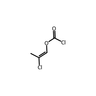 C/C(Cl)=C\OC(=O)Cl